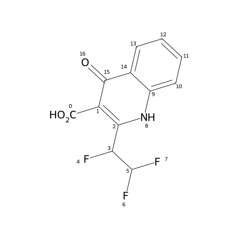 O=C(O)c1c(C(F)C(F)F)[nH]c2ccccc2c1=O